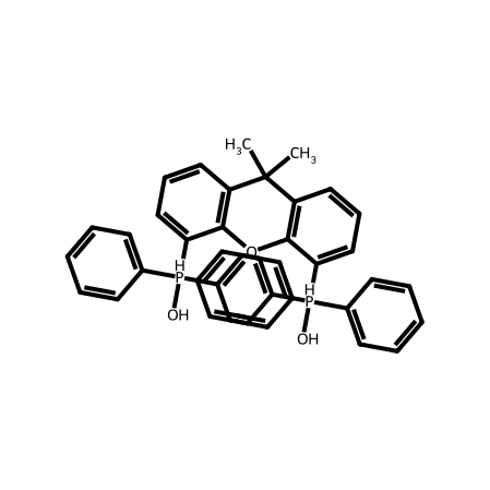 CC1(C)c2cccc([PH](O)(c3ccccc3)c3ccccc3)c2Oc2c1cccc2[PH](O)(c1ccccc1)c1ccccc1